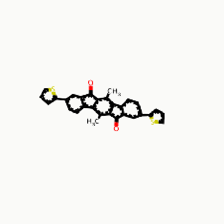 Cc1c2c(=O)c3cc(-c4cccs4)ccc3c2c(C)c2c(=O)c3cc(-c4cccs4)ccc3c12